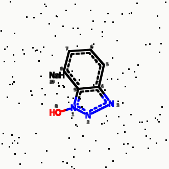 On1nnc2ccccc21.[NaH]